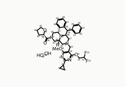 COc1nc(C2CC2)nc(OCC(F)F)c1CN1CC(C(c2ccccc2)c2ccccc2)N2CCN(C(=O)[C@H]3CCCO3)C[C@H]2C1.Cl.Cl